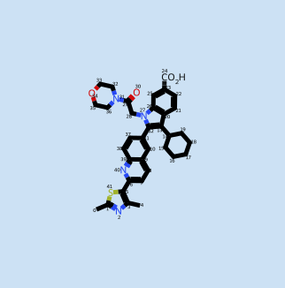 Cc1nc(C)c(-c2ccc3cc(-c4c(C5CCCCC5)c5ccc(C(=O)O)cc5n4CC(=O)N4CCOCC4)ccc3n2)s1